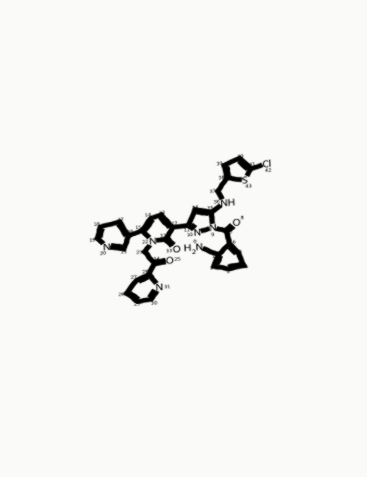 Nc1ccccc1C(=O)n1nc(-c2ccc(-c3cccnc3)n(CC(=O)c3ccccn3)c2=O)cc1NCc1ccc(Cl)s1